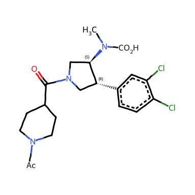 CC(=O)N1CCC(C(=O)N2C[C@@H](N(C)C(=O)O)[C@H](c3ccc(Cl)c(Cl)c3)C2)CC1